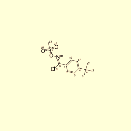 CC(C)(C)c1ccc(C(Cl)=NOS(C)(=O)=O)cc1